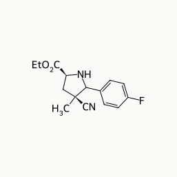 CCOC(=O)[C@@H]1C[C@](C)(C#N)C(c2ccc(F)cc2)N1